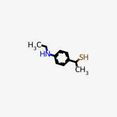 CCNc1ccc(C(C)S)cc1